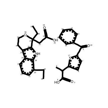 CC(C(=O)O)c1ccc(C(=O)c2ccccc2)s1.CCc1cccc2c3c([nH]c12)C(CC)(CC(=O)O)OCC3